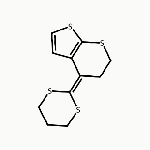 c1cc2c(s1)SCCC2=C1SCCCS1